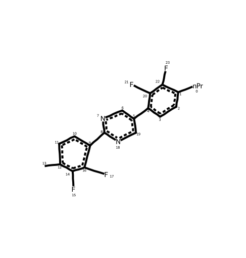 CCCc1ccc(-c2cnc(-c3ccc(C)c(F)c3F)nc2)c(F)c1F